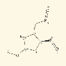 COC1C[C@H](P=O)[C@@H](CP=O)O1